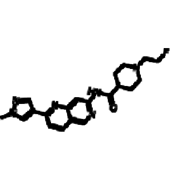 Cn1cc(-c2ccc3cnc(NC(=O)C4CCN(CCF)CC4)cc3n2)cn1